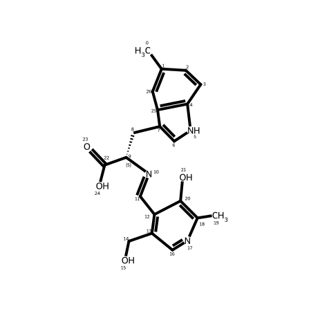 Cc1ccc2[nH]cc(C[C@H](N=Cc3c(CO)cnc(C)c3O)C(=O)O)c2c1